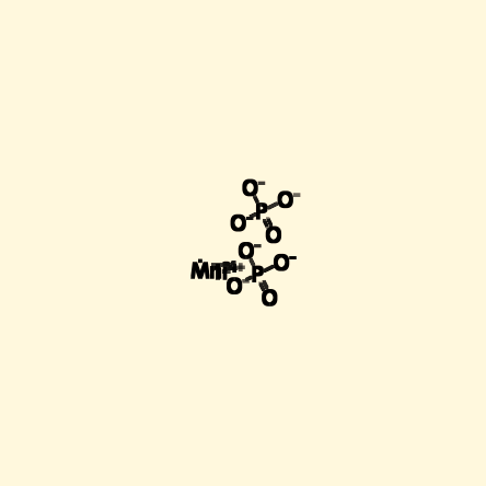 O=P([O-])([O-])[O-].O=P([O-])([O-])[O-].[Mn+2].[Ti+4]